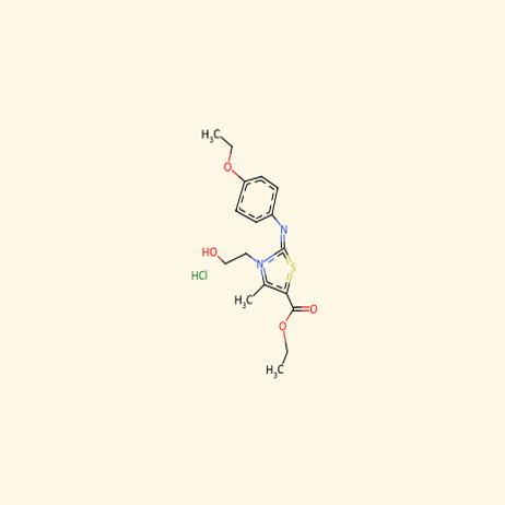 CCOC(=O)c1sc(=Nc2ccc(OCC)cc2)n(CCO)c1C.Cl